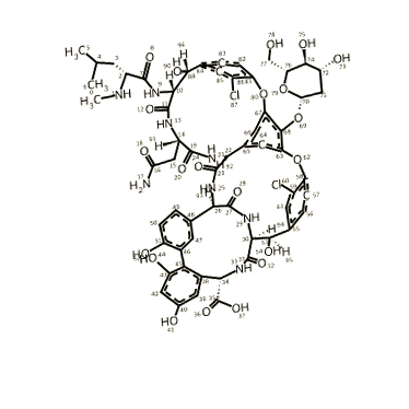 CN[C@H](CC(C)C)C(=O)N[C@H]1C(=O)N[C@@H](CC(N)=O)C(=O)N[C@H]2C(=O)N[C@H]3C(=O)N[C@H](C(=O)N[C@H](C(=O)O)c4cc(O)cc(O)c4-c4cc3ccc4O)[C@H](O)c3ccc(c(Cl)c3)Oc3cc2cc(c3O[C@H]2C[C@@H](O)[C@H](O)[C@@H](CO)O2)Oc2ccc(cc2Cl)[C@H]1O